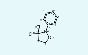 ClC1(Cl)[CH]CON1c1ccccc1